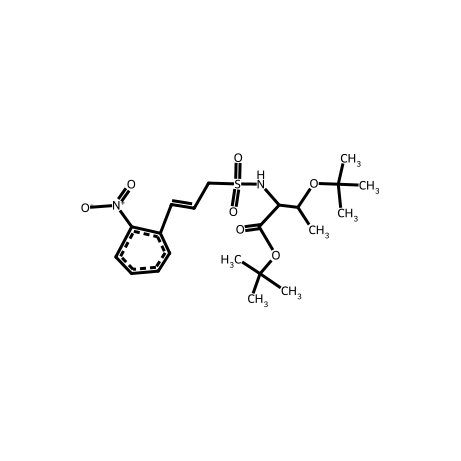 CC(OC(C)(C)C)C(NS(=O)(=O)CC=Cc1ccccc1[N+](=O)[O-])C(=O)OC(C)(C)C